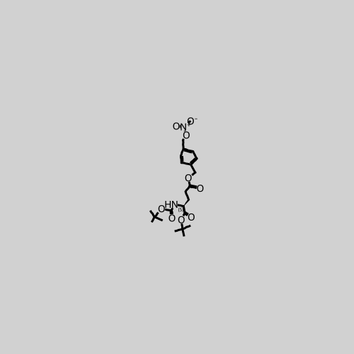 CC(C)(C)OC(=O)N[C@@H](CCC(=O)OCc1ccc(CO[N+](=O)[O-])cc1)C(=O)OC(C)(C)C